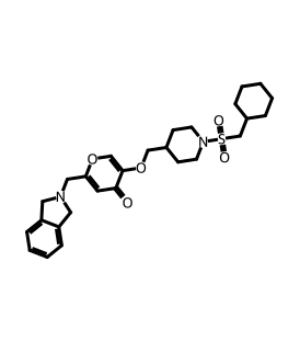 O=c1cc(CN2Cc3ccccc3C2)occ1OCC1CCN(S(=O)(=O)CC2CCCCC2)CC1